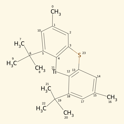 Cc1cc2[c](c(C(C)(C)C)c1)[Ti][c]1c(cc(C)cc1C(C)(C)C)S2